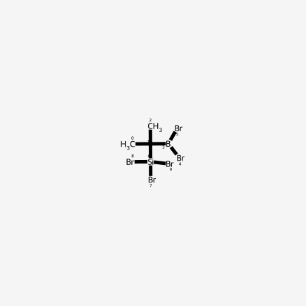 CC(C)(B(Br)Br)[Si](Br)(Br)Br